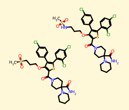 CS(=O)(=O)CCCOc1c(C(=O)N2CCC(C(N)=O)(N3CCCCC3)CC2)sc(-c2ccc(Cl)cc2Cl)c1-c1ccc(Cl)cc1.CS(=O)(=O)NCCCOc1c(C(=O)N2CCC(C(N)=O)(N3CCCCC3)CC2)sc(-c2ccc(Cl)cc2Cl)c1-c1ccc(Cl)cc1